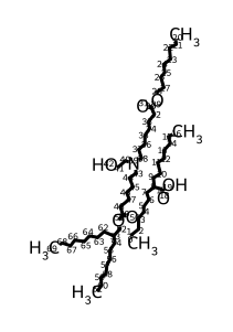 CCCCCCCCC(CCCCCCCC)C(=O)O.CCCCCCCCCOC(=O)CCCCCCCN(CCO)CCCCCCC(=O)OCC(CCCCCCCC)CCCCCCCC